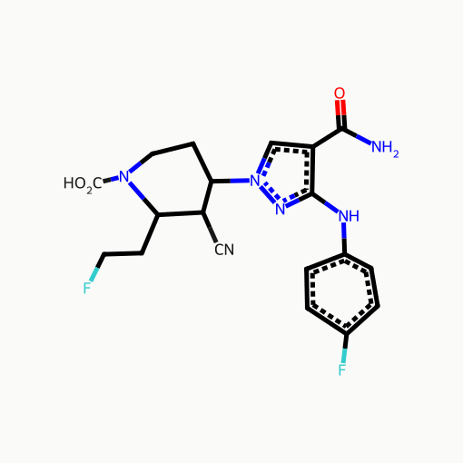 N#CC1C(CCF)N(C(=O)O)CCC1n1cc(C(N)=O)c(Nc2ccc(F)cc2)n1